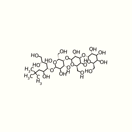 CC(C)(C)C[C@H](O)[C@@H](O[C@H]1O[C@H](CO)[C@H](O[C@@H]2O[C@H](CO)[C@H](O)[C@H](O[C@H]3O[C@H](CO)[C@H](O)[C@H](O)[C@H]3O)[C@H]2O)[C@H](O)[C@H]1O)[C@@H](O)[C@H](O)CO